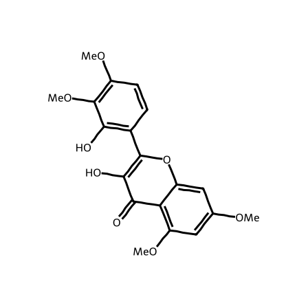 COc1cc(OC)c2c(=O)c(O)c(-c3ccc(OC)c(OC)c3O)oc2c1